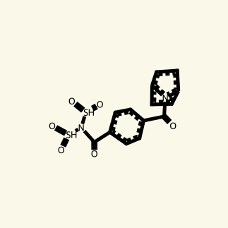 O=C(c1ccc(C(=O)n2c3ccc2cc3)cc1)N([SH](=O)=O)[SH](=O)=O